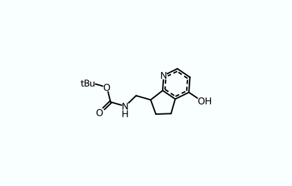 CC(C)(C)OC(=O)NCC1CCc2c(O)ccnc21